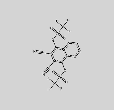 N#Cc1c(C#N)c(OS(=O)(=O)C(F)(F)F)c2ccccc2c1OS(=O)(=O)C(F)(F)F